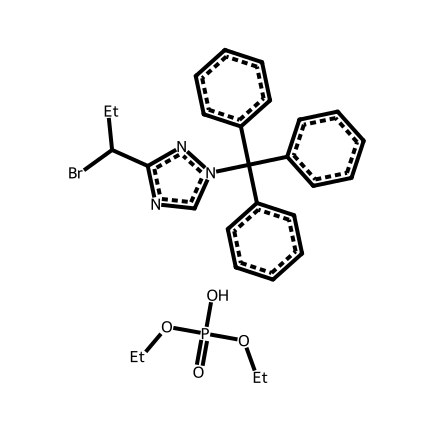 CCC(Br)c1ncn(C(c2ccccc2)(c2ccccc2)c2ccccc2)n1.CCOP(=O)(O)OCC